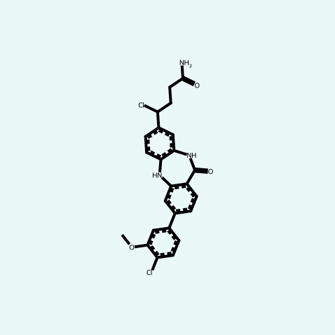 COc1cc(-c2ccc3c(c2)Nc2ccc(C(Cl)CCC(N)=O)cc2NC3=O)ccc1Cl